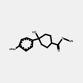 CCCCCCc1ccc(C2(O)CCC(C(=O)OCCC)CC2)cc1